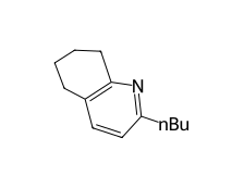 CCCCc1ccc2c(n1)CCCC2